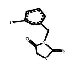 O=C1CSC(=S)N1Cc1cccc(F)c1